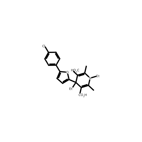 CCN1C(C)=C(C(=O)O)C(CC)(c2ccc(-c3ccc(Cl)cc3)o2)C(C(=O)O)=C1C